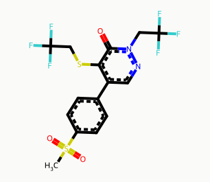 CS(=O)(=O)c1ccc(-c2cnn(CC(F)(F)F)c(=O)c2SCC(F)(F)F)cc1